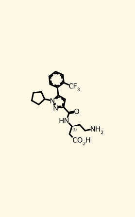 NCC[C@@H](CC(=O)O)NC(=O)c1cc(-c2ccccc2C(F)(F)F)n(C2CCCC2)n1